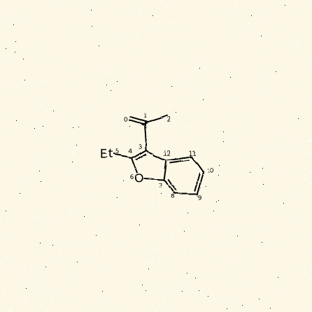 C=C(C)c1c(CC)oc2ccccc12